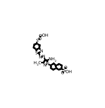 Cc1nn(-c2ccc3cc(S(=O)(=O)O)ccc3c2)c(N)c1/N=N/c1nc2cc(SOOO)ccc2s1